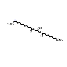 CCCCCCCC/C=C\CCCCCCCCC(=O)OCC(O)COC(=O)CCCCCCCCCCCCCCCCC